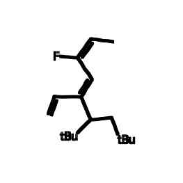 C=C/C(=C\C(F)=C/C)C(CC(C)(C)C)C(C)(C)C